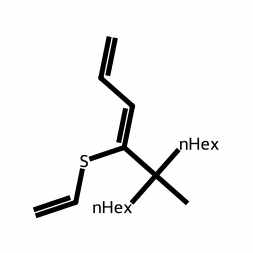 C=C/C=C(\SC=C)C(C)(CCCCCC)CCCCCC